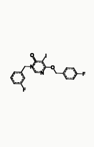 O=c1c(I)c(OCc2ccc(F)cc2)ncn1Cc1cccc(F)c1